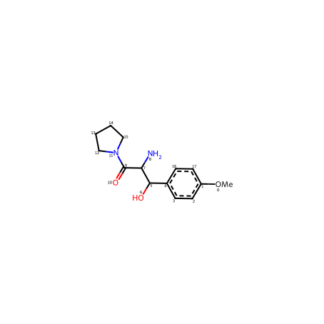 COc1ccc(C(O)C(N)C(=O)N2CCCC2)cc1